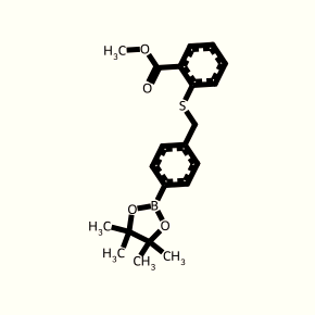 COC(=O)c1ccccc1SCc1ccc(B2OC(C)(C)C(C)(C)O2)cc1